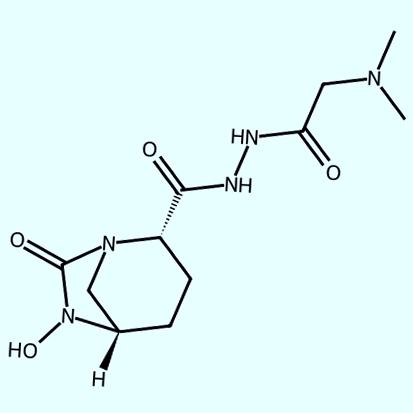 CN(C)CC(=O)NNC(=O)[C@@H]1CC[C@H]2CN1C(=O)N2O